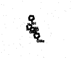 COc1ccc(S(=O)(=O)Nc2c(Nc3ccccc3)ncnc2OC)cc1